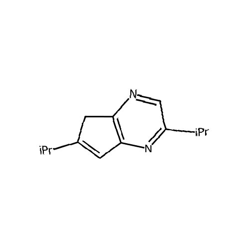 CC(C)C1=Cc2nc(C(C)C)cnc2C1